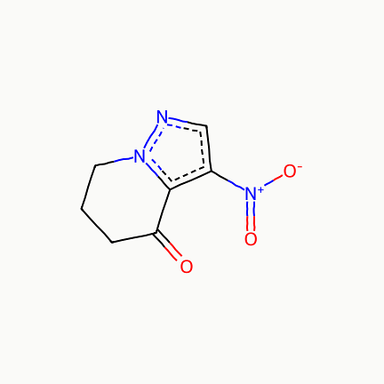 O=C1CCCn2ncc([N+](=O)[O-])c21